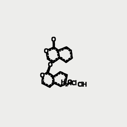 Cl.Cl.O.O=c1occc2ccccc12.O=c1occc2ccccc12